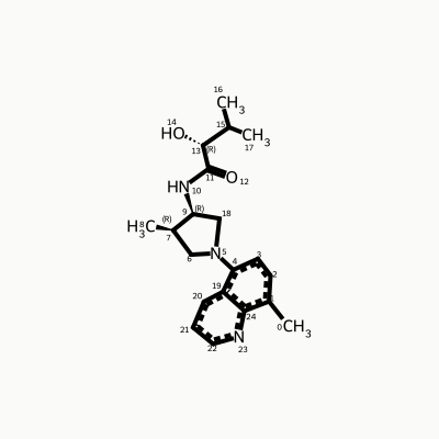 Cc1ccc(N2C[C@@H](C)[C@@H](NC(=O)[C@H](O)C(C)C)C2)c2cccnc12